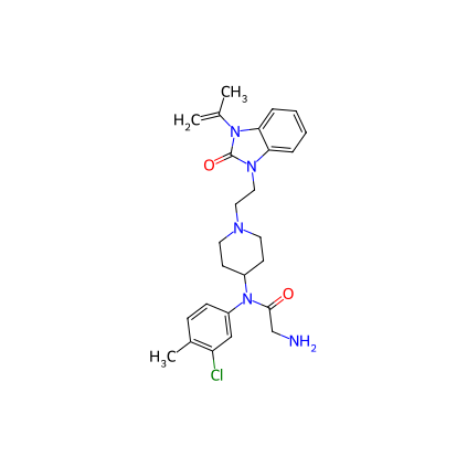 C=C(C)n1c(=O)n(CCN2CCC(N(C(=O)CN)c3ccc(C)c(Cl)c3)CC2)c2ccccc21